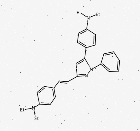 CCN(CC)c1ccc(C=Cc2cc(-c3ccc(N(CC)CC)cc3)n(-c3ccccc3)n2)cc1